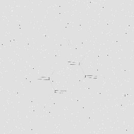 O=C([O-])C(=O)[O-].O=C([O-])C(=O)[O-].[Ba+2].[O]=[Zr+2]